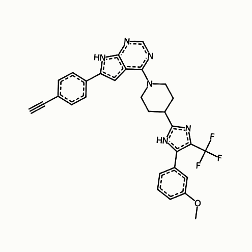 C#Cc1ccc(-c2cc3c(N4CCC(c5nc(C(F)(F)F)c(-c6cccc(OC)c6)[nH]5)CC4)ncnc3[nH]2)cc1